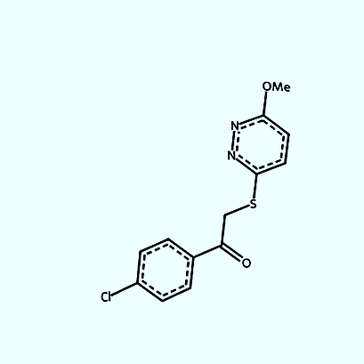 COc1ccc(SCC(=O)c2ccc(Cl)cc2)nn1